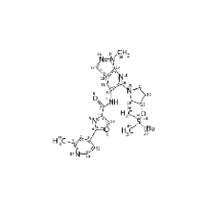 Cc1cc(-c2nc(C(=O)Nc3cc4cnn(C)c4nc3N3CC[C@H](O[Si](C)(C)C(C)(C)C)C3)co2)ccn1